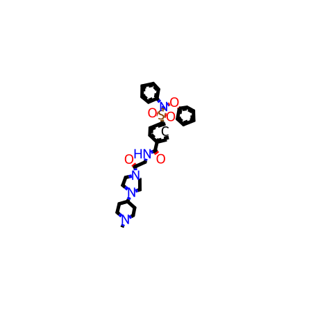 CN1CCC(N2CCN(C(=O)CNC(=O)c3ccc(S(=O)(=O)N(Oc4ccccc4)c4ccccc4)cc3)CC2)CC1